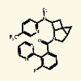 CCN(c1ccc(C(F)(F)F)cn1)C1CC23CC2CN(C(=O)c2cccc(F)c2-c2ncccn2)C13